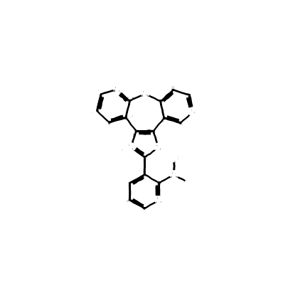 CN(C)c1ncccc1-c1nc2c([nH]1)-c1cnccc1Nc1ncccc1-2